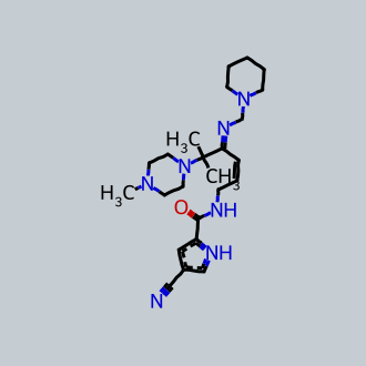 CN1CCN(C(C)(C)C(/C=C\CNC(=O)c2cc(C#N)c[nH]2)=N/CN2CCCCC2)CC1